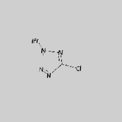 CC(C)n1nnc(Cl)n1